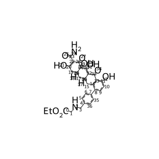 CCOC(=O)CNCc1ccc(-c2ccc(O)c3c2C[C@H]2C[C@H]4CC(O)=C(C(N)=O)C(=O)[C@@]4(O)C(O)=C2C3=O)cc1